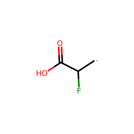 [CH2]C(F)C(=O)O